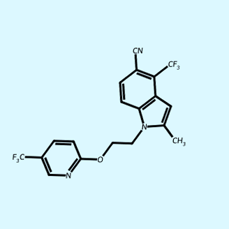 Cc1cc2c(C(F)(F)F)c(C#N)ccc2n1CCOc1ccc(C(F)(F)F)cn1